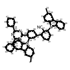 Cc1ccc2c(c1)c1ccccc1n2-c1cc(-c2cccc(-n3c4ccccc4c4cc(C)ccc43)c2C#N)ccc1-c1nc(-c2ccccc2)nc(-c2ccccc2)n1